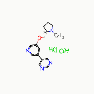 CN1CCC[C@H]1COc1cncc(-c2cncnc2)c1.Cl.Cl